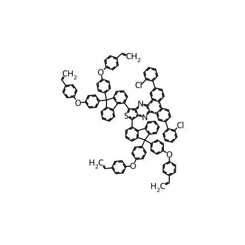 C=Cc1ccc(Oc2ccc(C3(c4ccc(Oc5ccc(C=C)cc5)cc4)c4ccccc4-c4c(-c5sc(-c6cccc7c6-c6ccccc6C7(c6ccc(Oc7ccc(C=C)cc7)cc6)c6ccc(Oc7ccc(C=C)cc7)cc6)c6nc7c8cc(-c9ccccc9Cl)ccc8c8ccc(-c9ccccc9Cl)cc8c7nc56)cccc43)cc2)cc1